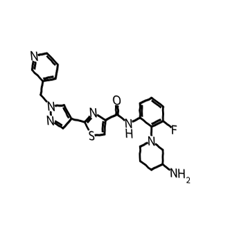 NC1CCCN(c2c(F)cccc2NC(=O)c2csc(-c3cnn(Cc4cccnc4)c3)n2)C1